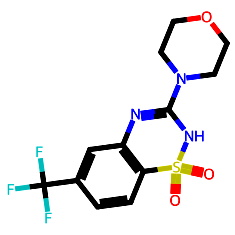 O=S1(=O)NC(N2CCOCC2)=Nc2cc(C(F)(F)F)ccc21